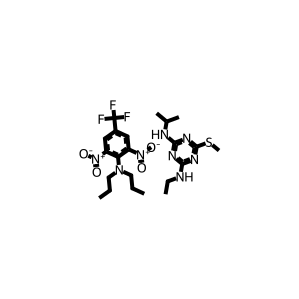 CCCN(CCC)c1c([N+](=O)[O-])cc(C(F)(F)F)cc1[N+](=O)[O-].CCNc1nc(NC(C)C)nc(SC)n1